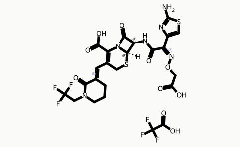 Nc1nc(/C(=N/OCC(=O)O)C(=O)N[C@@H]2C(=O)N3C(C(=O)O)=C(/C=C4\CCCN(CC(F)(F)F)C4=O)CS[C@H]23)cs1.O=C(O)C(F)(F)F